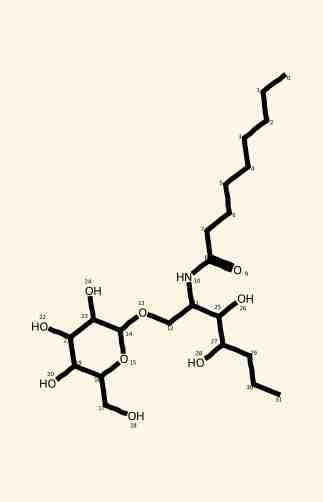 CCCCCCCCC(=O)NC(COC1OC(CO)C(O)C(O)C1O)C(O)C(O)CCC